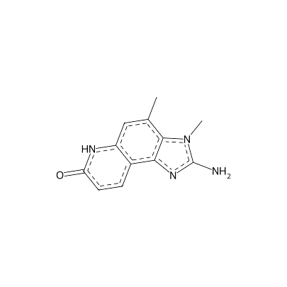 Cc1cc2[nH]c(=O)ccc2c2nc(N)n(C)c12